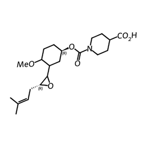 COC1CC[C@@H](OC(=O)N2CCC(C(=O)O)CC2)CC1C1O[C@@H]1CC=C(C)C